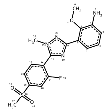 COc1c(N)cccc1-c1nc(-c2ccc(S(C)(=O)=O)cc2F)n(C)n1